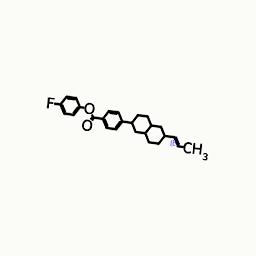 C/C=C/C1CCC2CC(c3ccc(C(=O)Oc4ccc(F)cc4)cc3)CCC2C1